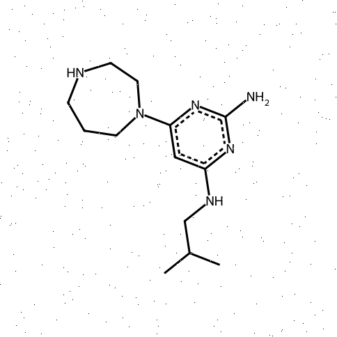 CC(C)CNc1cc(N2CCCNCC2)nc(N)n1